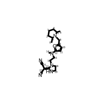 CC1CCCC(C)N1Cc1ccc(N(C)CCN2CCNC2=C(C#N)C#N)o1